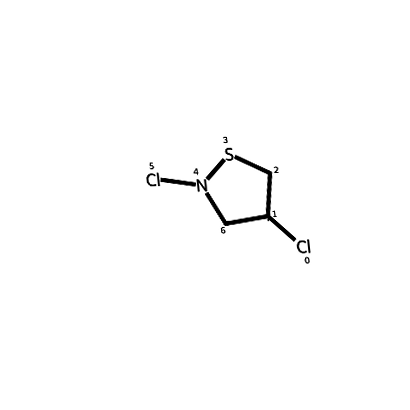 Cl[C]1CSN(Cl)C1